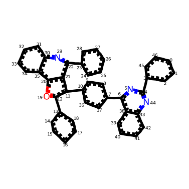 c1ccc(-c2nc(-c3ccc(-c4c(-c5ccccc5)oc5c4c(-c4ccccc4)nc4ccccc45)cc3)c3ccccc3n2)cc1